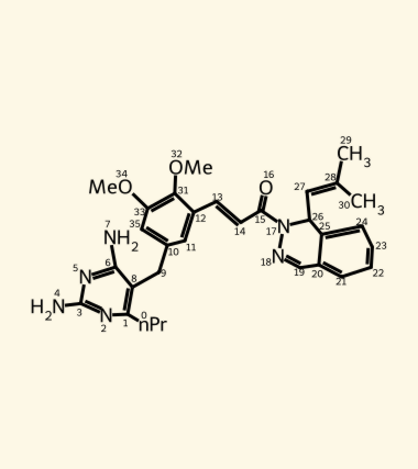 CCCc1nc(N)nc(N)c1Cc1cc(/C=C/C(=O)N2N=Cc3ccccc3C2C=C(C)C)c(OC)c(OC)c1